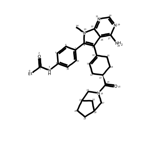 CCC(=O)Nc1ccc(-c2c(C3=CC[C@H](C(=O)N4CC5CCC(C5)C4)CC3)c3c(N)ncnc3n2C)cc1